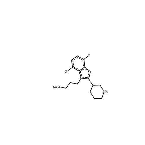 COCCCn1c(C2CCCNC2)cc2c(F)ccc(Cl)c21